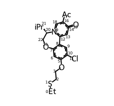 CCSCCOc1cc2c(cc1Cl)-c1cc(=O)c(C(C)=O)cn1[C@H](C(C)C)CO2